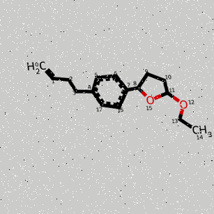 C=CCCc1ccc(C2CCC(OCC)O2)cc1